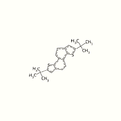 CC(C)(C)c1cc2ccc3c(ccc4cc(C(C)(C)C)sc43)c2s1